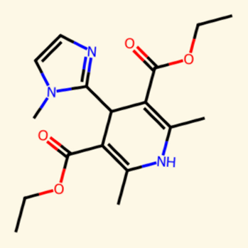 CCOC(=O)C1=C(C)NC(C)=C(C(=O)OCC)C1c1nccn1C